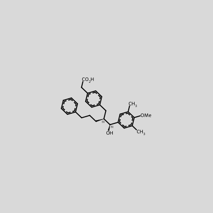 COc1c(C)cc([C@@H](O)[C@@H](CCCc2ccccc2)Cc2ccc(CC(=O)O)cc2)cc1C